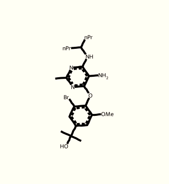 CCCC(CCC)Nc1nc(C)nc(Oc2c(Br)cc(C(C)(C)O)cc2OC)c1N